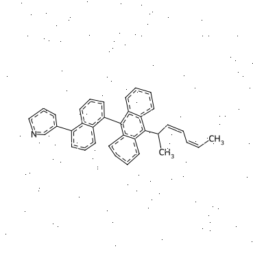 C/C=C\C=C/C(C)c1c2ccccc2c(-c2cccc3c(-c4cccnc4)cccc23)c2ccccc12